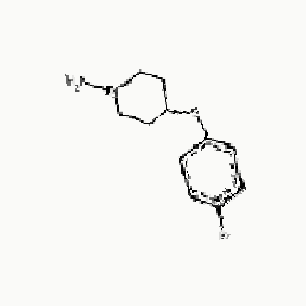 PN1CCC(Sc2ccc(Br)cc2)CC1